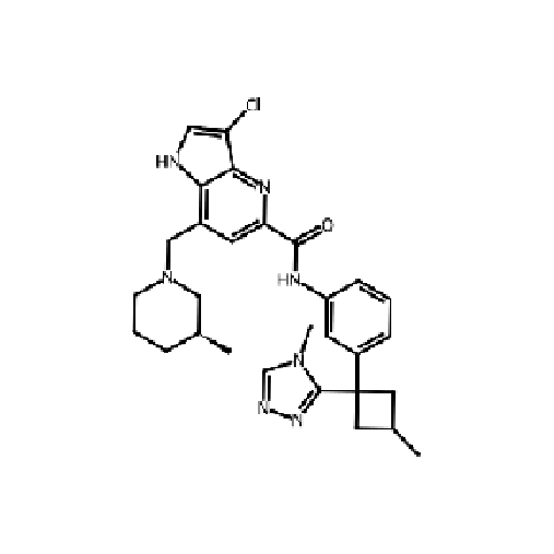 CC1CC(c2cccc(NC(=O)c3cc(CN4CCC[C@H](C)C4)c4[nH]cc(Cl)c4n3)c2)(c2nncn2C)C1